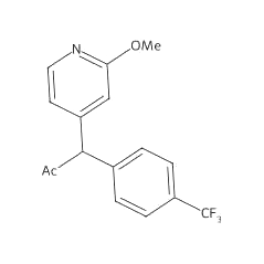 COc1cc(C(C(C)=O)c2ccc(C(F)(F)F)cc2)ccn1